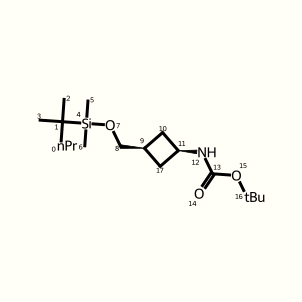 CCCC(C)(C)[Si](C)(C)OC[C@H]1C[C@@H](NC(=O)OC(C)(C)C)C1